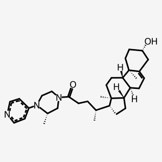 C[C@H](CCC(=O)N1CCN(c2ccncc2)[C@@H](C)C1)[C@H]1CC[C@H]2[C@@H]3CC=C4C[C@@H](O)CC[C@]4(C)[C@H]3CC[C@]12C